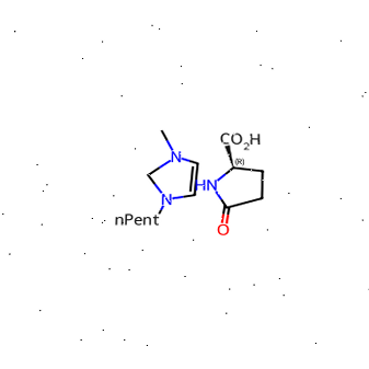 CCCCCN1C=CN(C)C1.O=C1CC[C@H](C(=O)O)N1